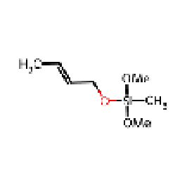 CC=CCO[Si](C)(OC)OC